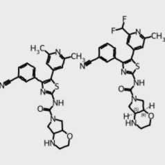 Cc1cc(-c2sc(NC(=O)N3CC4NCCOC4C3)nc2-c2cccc(C#N)c2)cc(C)n1.Cc1cc(-c2sc(NC(=O)N3C[C@@H]4NCCO[C@@H]4C3)nc2-c2cccc(C#N)c2)cc(C(F)F)n1